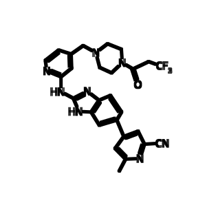 Cc1cc(-c2ccc3nc(Nc4cc(CN5CCN(C(=O)CC(F)(F)F)CC5)ccn4)[nH]c3c2)cc(C#N)n1